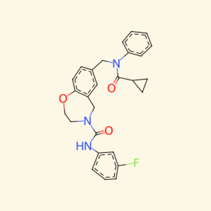 O=C(Nc1cccc(F)c1)N1CCOc2ccc(CN(C(=O)C3CC3)c3ccccc3)cc2C1